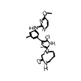 COc1ccnc(Nc2cc(C)cc(C3=C(Cl)NC(N4CCCNC(=O)C4)S3)c2)n1